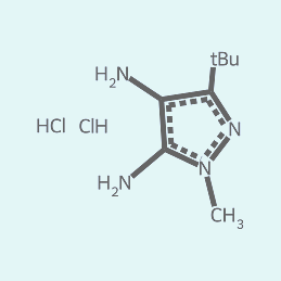 Cl.Cl.Cn1nc(C(C)(C)C)c(N)c1N